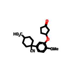 COc1ccc(C2(C#N)CCC(C(=O)O)CC2)cc1OC1CCC(=O)C1